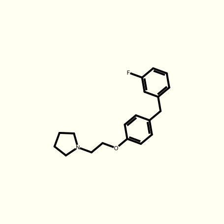 Fc1cccc(Cc2ccc(OCCN3CCCC3)cc2)c1